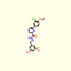 CCOc1ccc(-c2cncc(C(=O)NN=Cc3cc(OC)cc(OC)c3)n2)cc1Cl